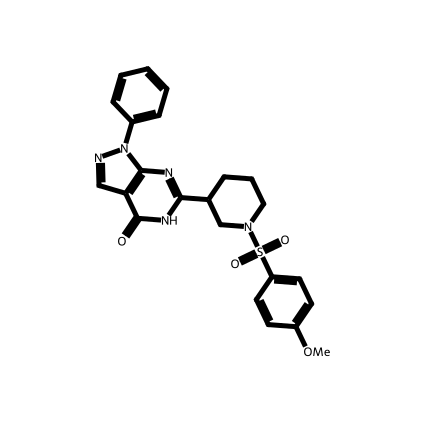 COc1ccc(S(=O)(=O)N2CCCC(c3nc4c(cnn4-c4ccccc4)c(=O)[nH]3)C2)cc1